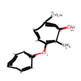 Cc1c(Oc2ccccc2)ccc(C(=O)O)c1O